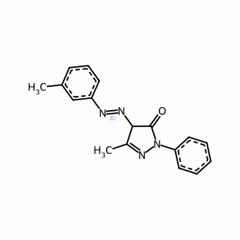 CC1=NN(c2ccccc2)C(=O)C1/N=N/c1cccc(C)c1